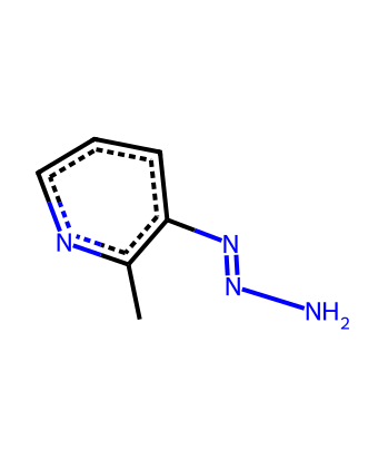 Cc1ncccc1N=NN